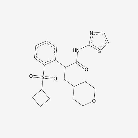 O=C(Nc1nccs1)C(CC1CCOCC1)c1ccccc1S(=O)(=O)C1CCC1